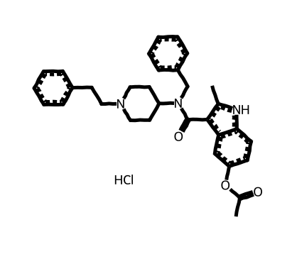 CC(=O)Oc1ccc2[nH]c(C)c(C(=O)N(Cc3ccccc3)C3CCN(CCc4ccccc4)CC3)c2c1.Cl